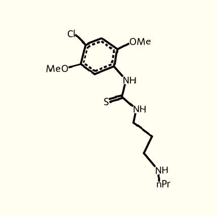 CCCNCCCNC(=S)Nc1cc(OC)c(Cl)cc1OC